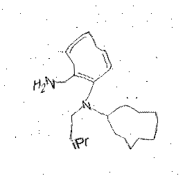 CC(C)CN(c1ccc[c]c1N)C1CCCCC1